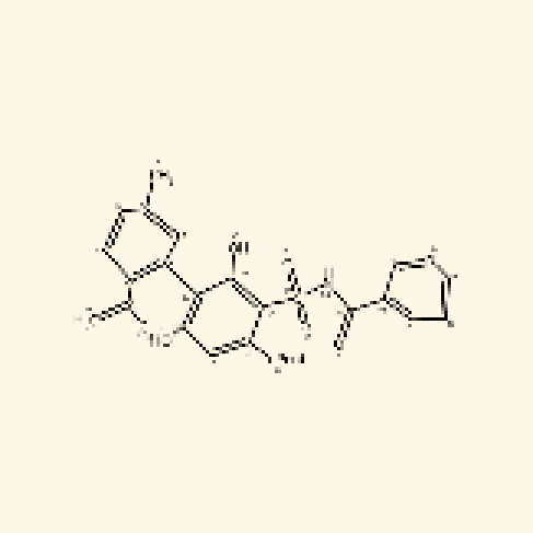 C=C(C)c1ccc(C)cc1-c1c(O)cc(CCCCC)c(S(=O)(=O)NC(=O)c2cccnc2)c1O